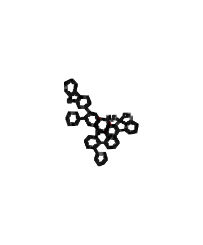 CC1(C)c2ccccc2-c2ccc(N(c3ccc(-c4ccc5c(c4)oc4ccccc45)c(-c4ccccc4)c3)c3cccc(-c4ccccc4)c3-c3ccccc3-c3ccccc3)cc21